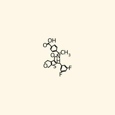 C[C@H](NC(=O)c1c(Cc2cc(F)cc(F)c2)sc2c1CCOC2)c1ccc(C(=O)O)cc1